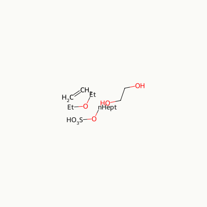 C=C.CCCCCCCOS(=O)(=O)O.CCOCC.OCCO